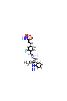 Cc1[nH]c2ccccc2c1CCNCc1ccc(/C=C/C(=O)NO)cc1F